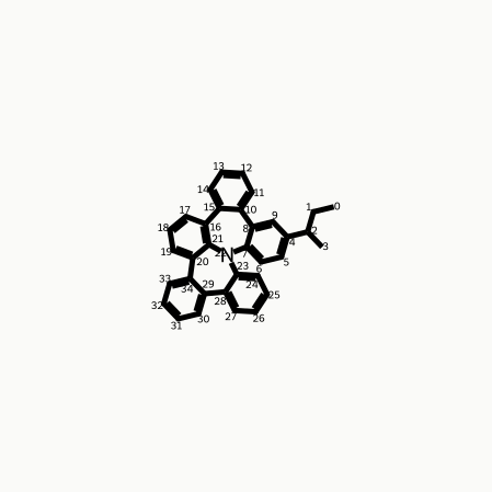 CCC(C)c1ccc2c(c1)-c1ccccc1-c1cccc3c1N2c1ccccc1-c1ccccc1-3